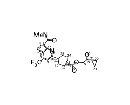 CNC(=O)c1csc2c(C(F)(F)F)cc(C3CCN(C(=O)OCC(=O)C4CC4)CC3)nc12